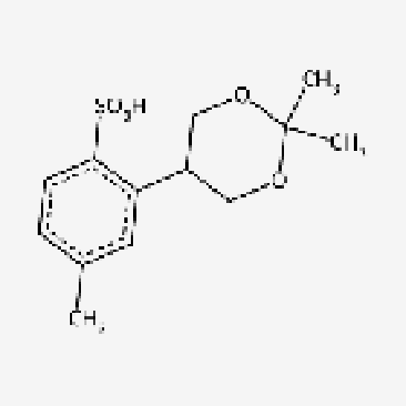 Cc1ccc(S(=O)(=O)O)c(C2COC(C)(C)OC2)c1